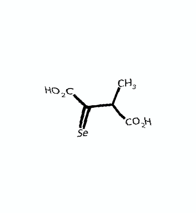 CC(C(=O)O)C(=[Se])C(=O)O